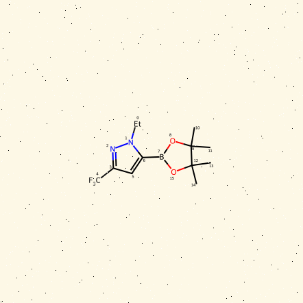 CCn1nc(C(F)(F)F)cc1B1OC(C)(C)C(C)(C)O1